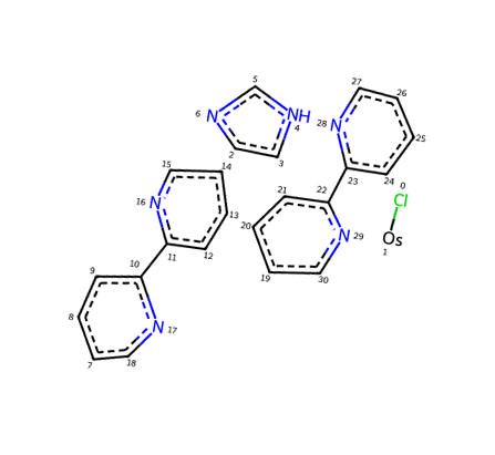 [Cl][Os].c1c[nH]cn1.c1ccc(-c2ccccn2)nc1.c1ccc(-c2ccccn2)nc1